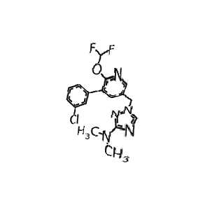 CN(C)c1ncn(Cc2cnc(OC(F)F)c(-c3cccc(Cl)c3)c2)n1